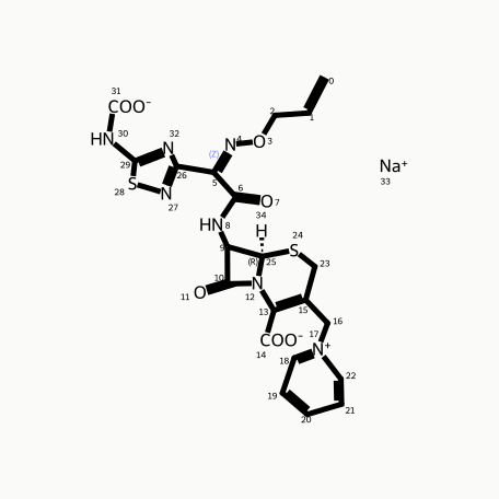 C=CCO/N=C(\C(=O)NC1C(=O)N2C(C(=O)[O-])=C(C[n+]3ccccc3)CS[C@H]12)c1nsc(NC(=O)[O-])n1.[Na+]